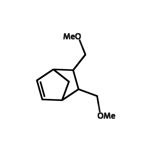 COCC1C2C=CC(C2)C1COC